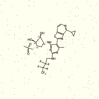 Cc1nc(NCC(F)(F)C(F)(F)C(F)(F)F)nc(N[C@@H]2C[C@H](CS(C)(=O)=O)[C@@H](O)[C@H]2O)c1-c1nc2c(C3CC3)nccc2s1